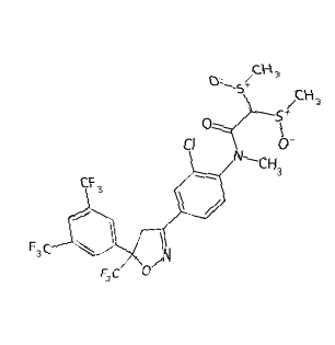 CN(C(=O)C([S+](C)[O-])[S+](C)[O-])c1ccc(C2=NOC(c3cc(C(F)(F)F)cc(C(F)(F)F)c3)(C(F)(F)F)C2)cc1Cl